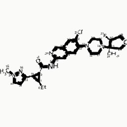 CC[C@@H]1[C@@H](C(=O)Nc2cc3cc(N4CCN([C@]5(C)COC[C@@H]5F)CC4)c(Cl)cc3cn2)[C@@H]1c1ccn(C)n1